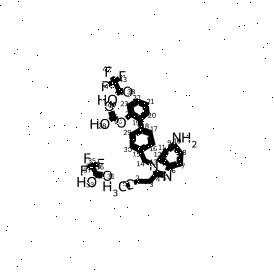 CCCCc1nc2ccc(N)cc2n1Cc1ccc(-c2ccccc2OC(=O)O)cc1.O=C(O)C(F)(F)F.O=C(O)C(F)(F)F